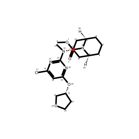 COC(=O)N1[C@@H]2CCC[C@H]1C[C@H](N(C)c1nc(Cl)cc(O[C@@H]3CCOC3)n1)C2